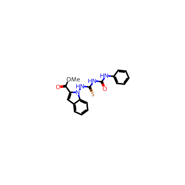 COC(=O)c1cc2ccccc2n1NC(=S)NC(=O)Nc1ccccc1